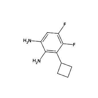 Nc1cc(F)c(F)c(C2CCC2)c1N